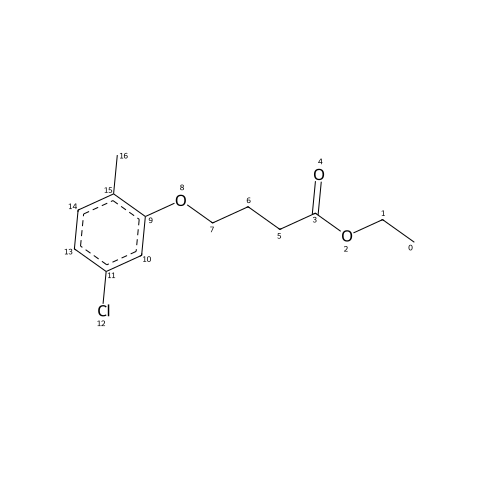 CCOC(=O)CCCOc1cc(Cl)ccc1C